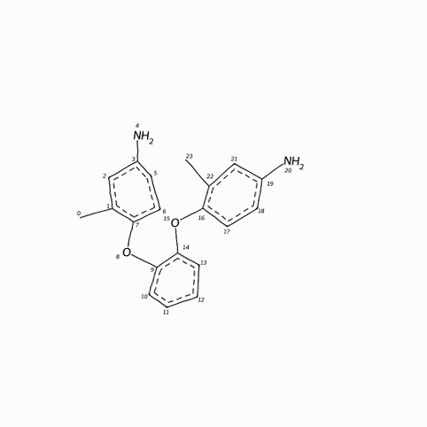 Cc1cc(N)ccc1Oc1ccccc1Oc1ccc(N)cc1C